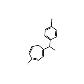 CC(C1=CC=C(F)C=CC1)c1ccc(F)cc1